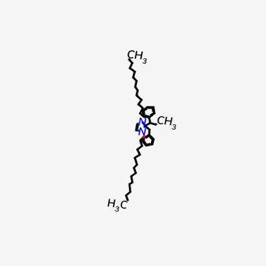 CCCCCCCCCCCCCCCCN1C=CN(CCCCCCCCCCCCCCC)C1(Cc1ccccc1)C(CC)c1ccccc1